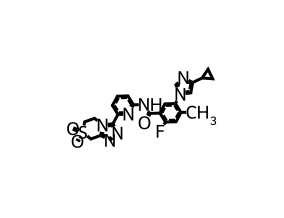 Cc1cc(F)c(C(=O)Nc2cccc(-c3nnc4n3CCS(=O)(=O)C4)n2)cc1-n1cnc(C2CC2)c1